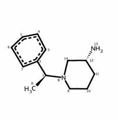 C[C@@H](c1ccccc1)N1CCC[C@@H](N)C1